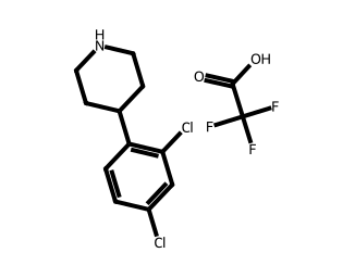 Clc1ccc(C2CCNCC2)c(Cl)c1.O=C(O)C(F)(F)F